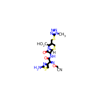 Cn1nnnc1SCC1=C(C(=O)O)N2C(=O)C(NC(=O)C(=NOCC#N)c3csc(N)n3)[C@@H]2SC1